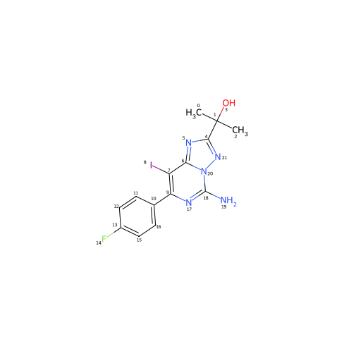 CC(C)(O)c1nc2c(I)c(-c3ccc(F)cc3)nc(N)n2n1